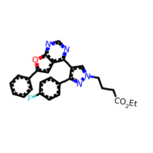 CCOC(=O)CCCn1cc(-c2ncnc3oc(-c4ccccc4)cc23)c(-c2ccc(F)cc2)n1